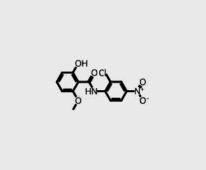 COc1cccc(O)c1C(=O)Nc1ccc([N+](=O)[O-])cc1Cl